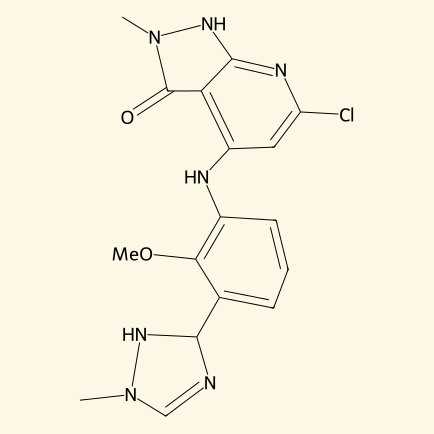 COc1c(Nc2cc(Cl)nc3[nH]n(C)c(=O)c23)cccc1C1N=CN(C)N1